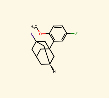 COc1ccc(Br)cc1C12CC3C[C@H](CC(I)(C3)C1)C2